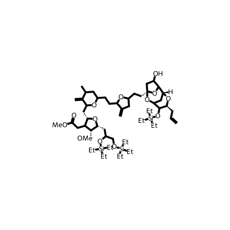 C=CC[C@@H]1O[C@@H]2CC(O[C@@]3(CCC4CC(=C)C(CCC5CC(C)C(=C)C(C[C@@H]6O[C@H](CC(CO[Si](CC)(CC)CC)O[Si](CC)(CC)CC)[C@H](OC)C6CC(=O)OC)O5)O4)CC(O)C2O3)C1O[Si](CC)(CC)CC